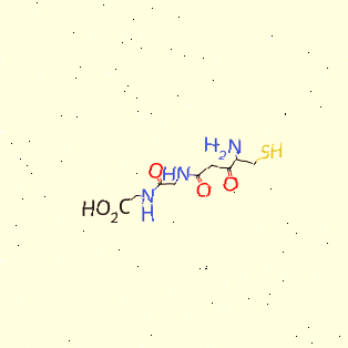 NC(CS)C(=O)CC(=O)NCC(=O)NCC(=O)O